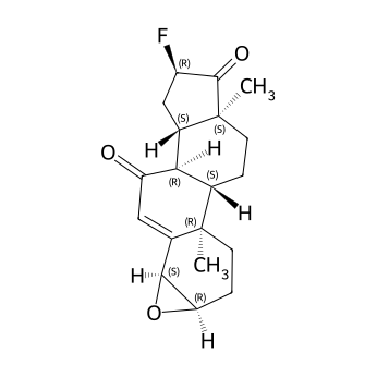 C[C@]12CC[C@H]3O[C@H]3C1=CC(=O)[C@@H]1[C@@H]2CC[C@]2(C)C(=O)[C@H](F)C[C@@H]12